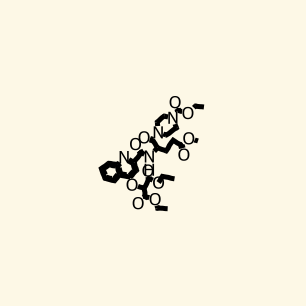 CCOC(=O)C(Oc1cc(C(=O)NC(CCC(=O)OC)C(=O)N2CCN(C(=O)OCC)CC2)nc2ccccc12)C(=O)OCC